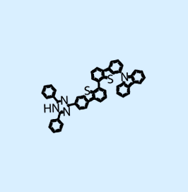 c1ccc(C2=NC(c3ccc4c(c3)sc3c(-c5cccc6c5sc5c(-n7c8ccccc8c8ccccc87)cccc56)cccc34)=NC(c3ccccc3)N2)cc1